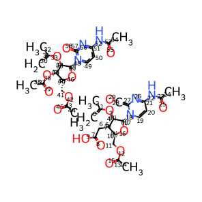 C=C(C)O[C@@H]1[C@H](CC(=O)O)[C@H](COC(C)=O)O[C@H]1N1C=CC(NC(C)=O)=NC1=C=O.C=C(C)O[C@@H]1[C@H](OC(C)=O)[C@@H](COC(C)=O)O[C@H]1n1ccc(NC(C)=O)nc1=O